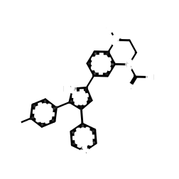 CC(=O)N1CC[S+]([O-])c2ccc(-c3cc(-c4ccncc4)c(-c4ccc(F)cc4)[nH]3)cc21